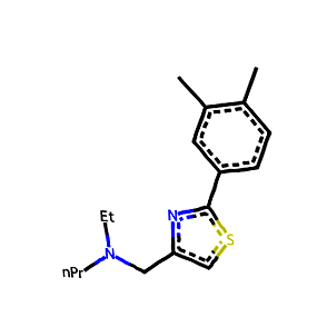 CCCN(CC)Cc1csc(-c2ccc(C)c(C)c2)n1